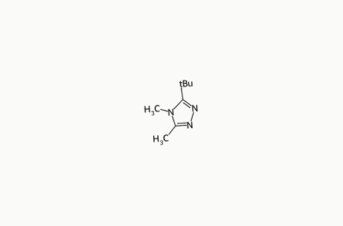 Cc1nnc(C(C)(C)C)n1C